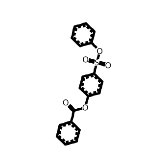 O=C(Oc1ccc(S(=O)(=O)Oc2ccccc2)cc1)c1ccccc1